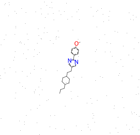 CCCC1CCC(CCc2cnc(-c3ccc(OC)cc3)nc2)CC1